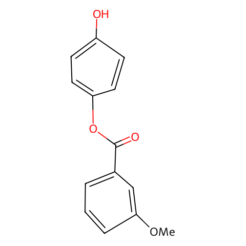 COc1cccc(C(=O)Oc2ccc(O)cc2)c1